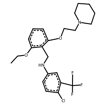 CCOc1cccc(OCCN2CCCCC2)c1CNc1ccc(Cl)c(C(F)(F)F)c1